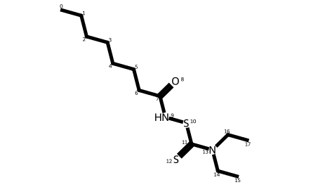 CCCCCCCC(=O)NSC(=S)N(CC)CC